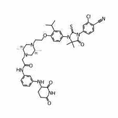 CC(C)c1cc(N2C(=S)N(c3ccc(C#N)c(Cl)c3)C(=O)C2(C)C)ccc1OCCN1C[C@@H](C)N(CC(=O)Nc2cccc(NC3CCC(=O)NC3=O)c2)C[C@H]1C